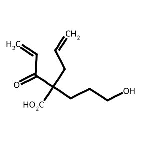 C=CCC(CCCO)(C(=O)O)C(=O)C=C